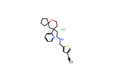 C#Cc1csc(CNCCC2(c3ccccn3)CCOC3(CCCC3)C2)c1.Cl